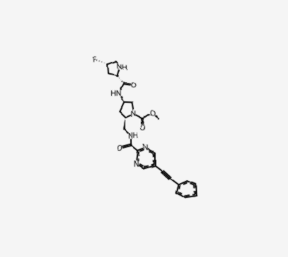 COC(=O)N1C[C@H](NC(=O)[C@@H]2C[C@H](F)CN2)C[C@@H]1CNC(=O)c1ncc(C#Cc2ccccc2)cn1